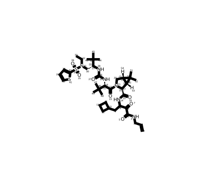 C=CCNC(=O)C(=O)C(CC1CCC1)NC(=O)[C@@H]1[C@@H]2[C@H](CN1C(=O)[C@@H](NC(=O)N[C@H](CN(CC)S(=O)(=O)c1cccs1)C(C)(C)C)C(C)(C)C)C2(C)C